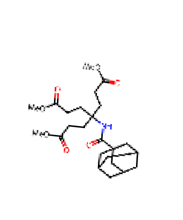 COC(=O)CCC(CCC(=O)OC)(CCC(=O)OC)NC(=O)C12CC3CC(CC(C3)C1)C2